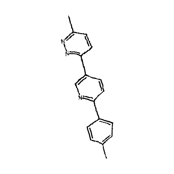 Cc1ccc(-c2ccc(-c3ccc(C)nn3)cn2)cc1